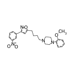 COc1ccccc1N1CCN(CCCCc2cc(-c3cccc([N+](=O)[O-])c3)no2)CC1